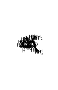 CC(C)C[C@H](NC(=O)CNC(=O)[C@@H]1CCCN1C(=O)[C@H](CCCNC(=N)N)NC(=O)[C@H](CCCNC(=N)N)NC(=O)[C@H](C)NC(=O)[C@@H](N)CCCNC(=N)N)C(=O)N[C@@H](CC(C)C)C(=O)NCC(=O)O